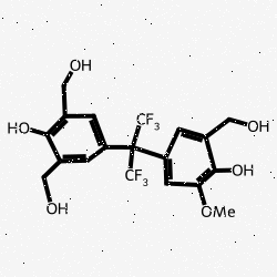 COc1cc(C(c2cc(CO)c(O)c(CO)c2)(C(F)(F)F)C(F)(F)F)cc(CO)c1O